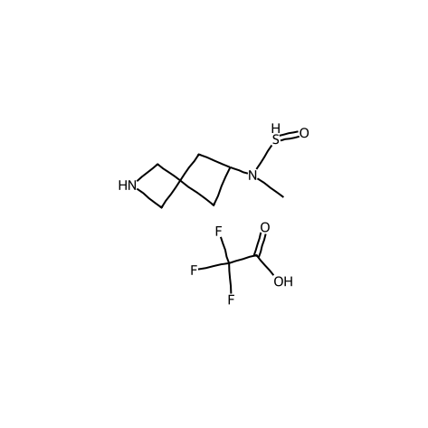 CN([SH]=O)C1CC2(CNC2)C1.O=C(O)C(F)(F)F